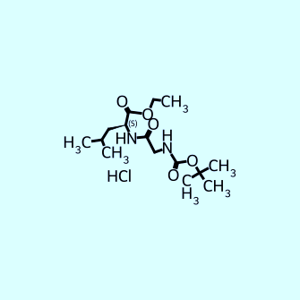 CCOC(=O)[C@H](CC(C)C)NC(=O)CNC(=O)OC(C)(C)C.Cl